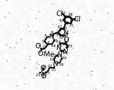 COC(=O)CC1CCN(Cc2cc(Oc3cnc(N4CCN(CCCS(C)(=O)=O)CC4)nc3)nc(-c3cc(Cl)cc(Cl)c3)c2)CC1